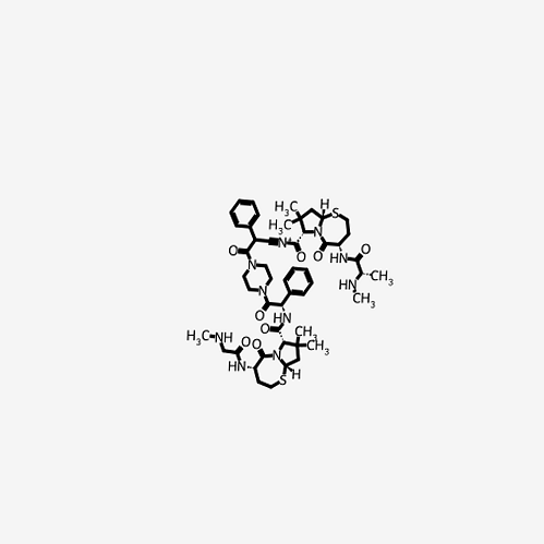 CNCC(=O)N[C@H]1CCS[C@H]2CC(C)(C)[C@@H](C(=O)N[C@H](C(=O)N3CCN(C(=O)C(C#[N+]C(=O)[C@H]4N5C(=O)[C@@H](NC(=O)[C@H](C)NC)CCS[C@H]5CC4(C)C)c4ccccc4)CC3)c3ccccc3)N2C1=O